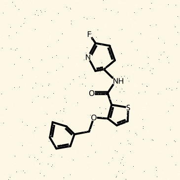 O=C(Nc1ccc(F)nc1)c1sccc1OCc1ccccc1